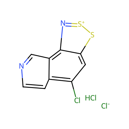 Cl.Clc1cc2s[s+]nc2c2cnccc12.[Cl-]